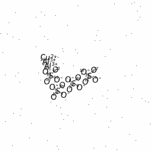 O=S(=O)([O-])[O-].O=S(=O)([O-])[O-].O=S(=O)([O-])[O-].O=S(=O)([O-])[O-].[Al+3].[Al+3].[Cu+2]